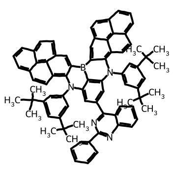 CC(C)(C)c1cc(N2c3cc(-c4nc(-c5ccccc5)nc5ccccc45)cc4c3B(c3cc5ccc6cccc7ccc(c32)c5c67)c2cc3ccc5cccc6ccc(c2N4c2cc(C(C)(C)C)cc(C(C)(C)C)c2)c3c56)cc(C(C)(C)C)c1